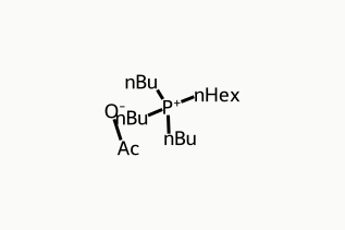 CC(=O)[O-].CCCCCC[P+](CCCC)(CCCC)CCCC